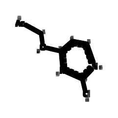 CC(=O)COc1ccnc(Cl)n1